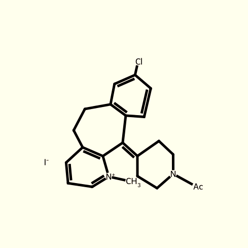 CC(=O)N1CCC(=C2c3ccc(Cl)cc3CCc3ccc[n+](C)c32)CC1.[I-]